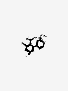 CCOC(=O)C(O)c1c(-c2ccnc(OC)c2)cc(F)cc1C(C)C